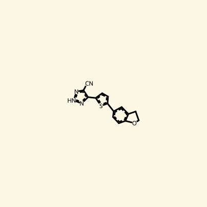 N#Cc1n[nH]nc1-c1ccc(-c2ccc3c(c2)CCO3)s1